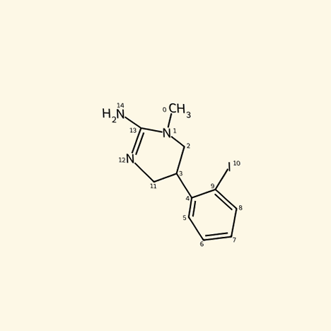 CN1CC(c2ccccc2I)CN=C1N